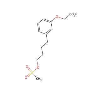 CS(=O)(=O)OCCCCc1cccc(OCC(=O)O)c1